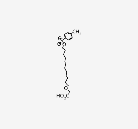 Cc1ccc(S(=O)(=O)OCCCCCCCCCCCCOCC(=O)O)cc1